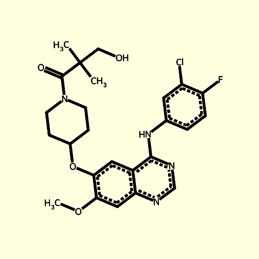 COc1cc2ncnc(Nc3ccc(F)c(Cl)c3)c2cc1OC1CCN(C(=O)C(C)(C)CO)CC1